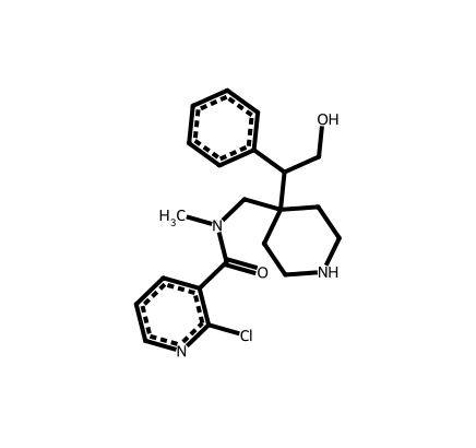 CN(CC1(C(CO)c2ccccc2)CCNCC1)C(=O)c1cccnc1Cl